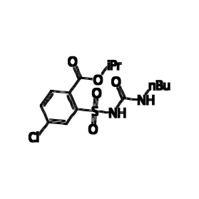 CCCCNC(=O)NS(=O)(=O)c1cc(Cl)ccc1C(=O)OC(C)C